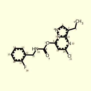 CCc1cnn2c(OC(=O)NCc3ccccc3F)cc(Cl)nc12